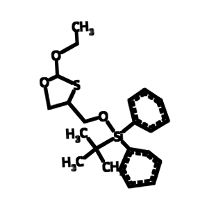 CCOC1OCC(CO[Si](c2ccccc2)(c2ccccc2)C(C)(C)C)S1